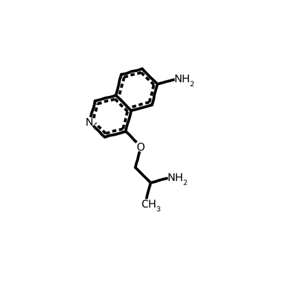 CC(N)COc1cncc2ccc(N)cc12